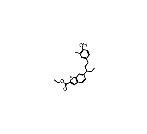 CCOC(=O)c1cc2ccc(C(CC)CCc3ccc(O)c(C)c3)cc2s1